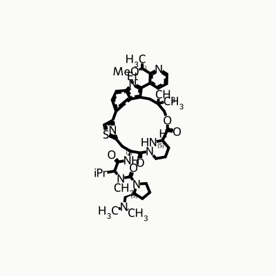 CCn1c(-c2cccnc2[C@H](C)OC)c2c3cc(ccc31)-c1csc(n1)C[C@H](NC(=O)C(C(C)C)N(C)C(=O)N1CCC[C@H]1CN(C)C)C(=O)N1CCC[C@H](N1)C(=O)OCC(C)(C)C2